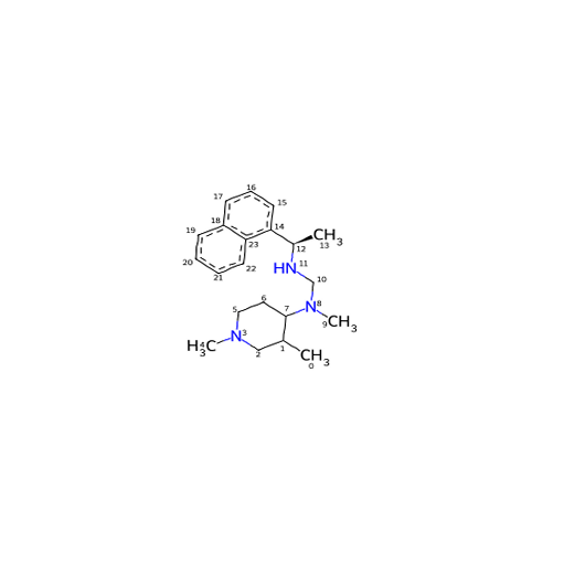 CC1CN(C)CCC1N(C)CN[C@H](C)c1cccc2ccccc12